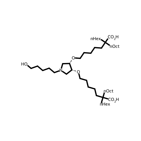 CCCCCCCCC(CCCCCC)(CCCCCO[C@H]1CN(CCCCCO)C[C@H]1OCCCCCC(CCCCCC)(CCCCCCCC)C(=O)O)C(=O)O